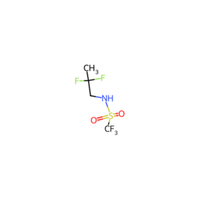 CC(F)(F)CNS(=O)(=O)C(F)(F)F